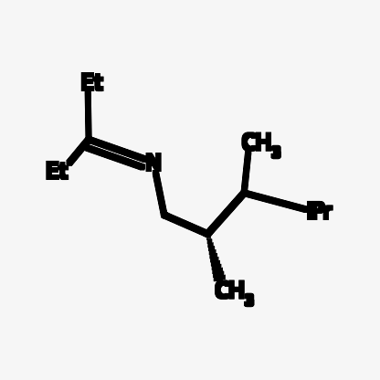 CCC(CC)=NC[C@@H](C)C(C)C(C)C